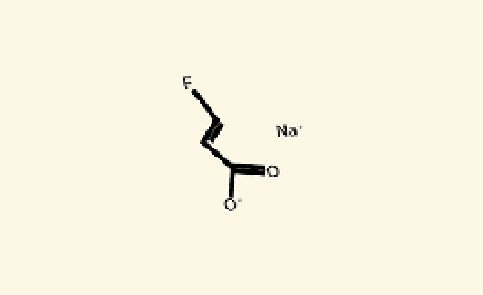 O=C([O-])C=CF.[Na+]